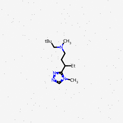 CCC(CCN(C)CC(C)(C)C)c1nncn1C